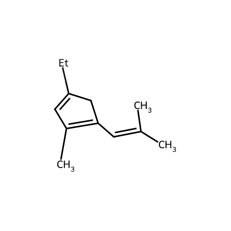 CCC1=CC(C)=C(C=C(C)C)C1